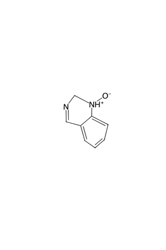 [O-][NH+]1CN=Cc2ccccc21